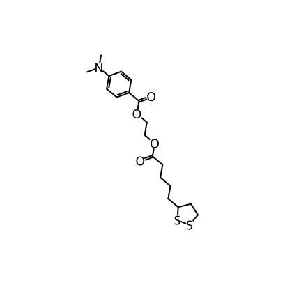 CN(C)c1ccc(C(=O)OCCOC(=O)CCCCC2CCSS2)cc1